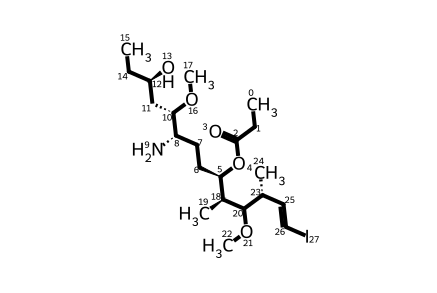 CCC(=O)O[C@H](CC[C@H](N)[C@H](C[C@H](O)CC)OC)[C@H](C)C(OC)[C@H](C)/C=C/I